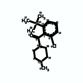 CN1CCN(C(=O)c2c(Cl)cccc2[Si](C)(C)C)CC1